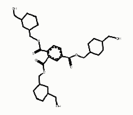 O=C(OCC1CCC(CO)CC1)c1ccc(C(=O)OCC2CCCC(CO)C2)c(C(=O)OCC2CCCC(CO)C2)c1